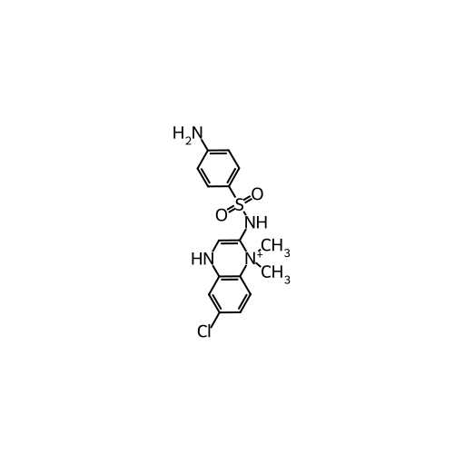 C[N+]1(C)C(NS(=O)(=O)c2ccc(N)cc2)=CNc2cc(Cl)ccc21